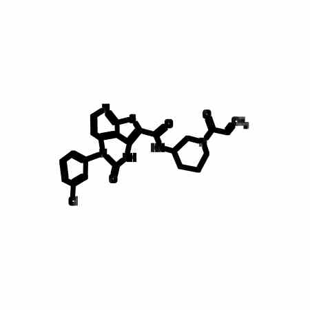 C=CC(=O)N1CCCC(NC(=O)c2sc3nccc4c3c2NC(=O)N4c2cccc(Cl)c2)C1